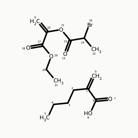 C=C(CCCC)C(=O)O.C=C(OC(=O)C(C)Br)C(=O)OCC